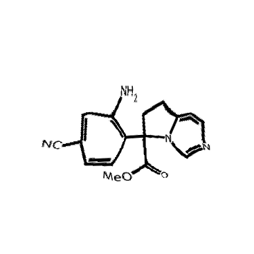 COC(=O)C1(c2ccc(C#N)cc2N)CCc2cncn21